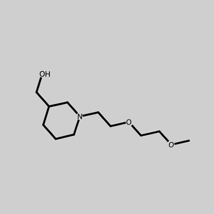 COCCOCCN1CCCC(CO)C1